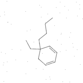 CCCCC1(CC)C=CC=CC1